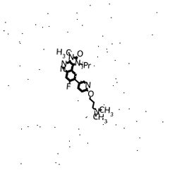 CC(C)n1c(=O)n(C)c2nnc3cc(F)c(-c4ccc(OCCCN(C)C)nc4)cc3c21